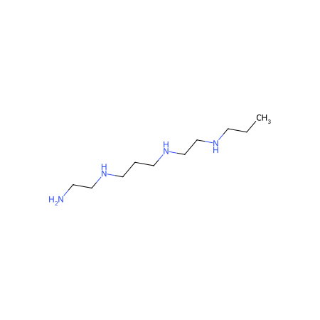 CCCNCCNCCCNCCN